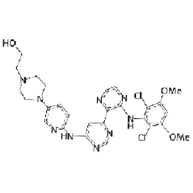 COc1cc(OC)c(Cl)c(Nc2nccnc2-c2cc(Nc3ccc(N4CCN(CCO)CC4)cn3)ncn2)c1Cl